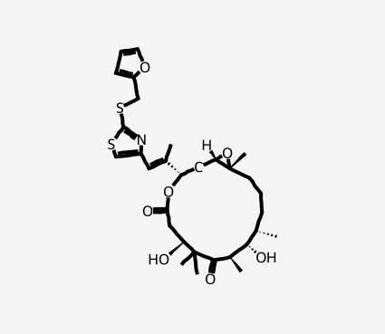 C/C(=C\c1csc(SCc2ccco2)n1)[C@@H]1C[C@@H]2O[C@]2(C)CCC[C@H](C)[C@H](O)[C@@H](C)C(=O)C(C)(C)[C@@H](O)CC(=O)O1